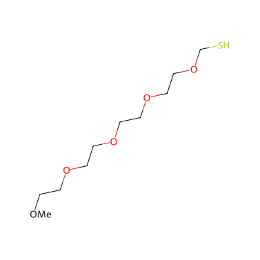 COCCOCCOCCOCCOCS